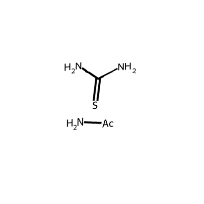 CC(N)=O.NC(N)=S